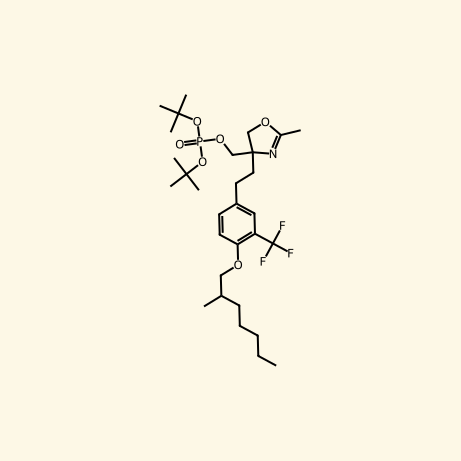 CCCCCC(C)COc1ccc(CCC2(COP(=O)(OC(C)(C)C)OC(C)(C)C)COC(C)=N2)cc1C(F)(F)F